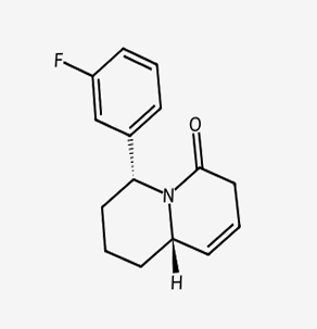 O=C1CC=C[C@@H]2CCC[C@H](c3cccc(F)c3)N12